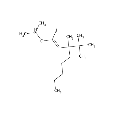 CCCCCC(C)(C=C(I)O[SiH](C)C)C(C)(C)C